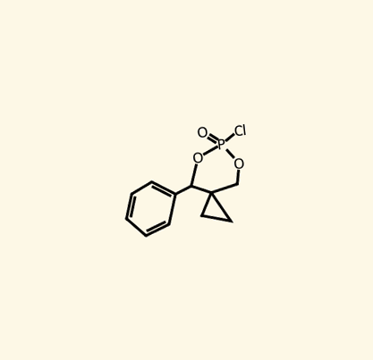 O=P1(Cl)OCC2(CC2)C(c2ccccc2)O1